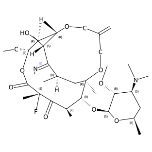 C=C1CO[C@@H]2[C@@H](C)/C(=N/C)[C@H](C)C[C@@](C)(OC1)[C@H](O[C@@H]1O[C@H](C)C[C@H](N(C)C)[C@H]1OC)[C@@H](C)C(=O)[C@](C)(F)C(=O)O[C@H](CC)[C@@]2(C)O